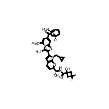 COc1cc(C(=O)N2C3CC[C@H]2C[C@H]3N)cc2nc(-c3cc4ccc([C@@H](C)NC(=O)C5(C)CC(F)(F)C5)nc4n3CC3CC3)c(C)n12